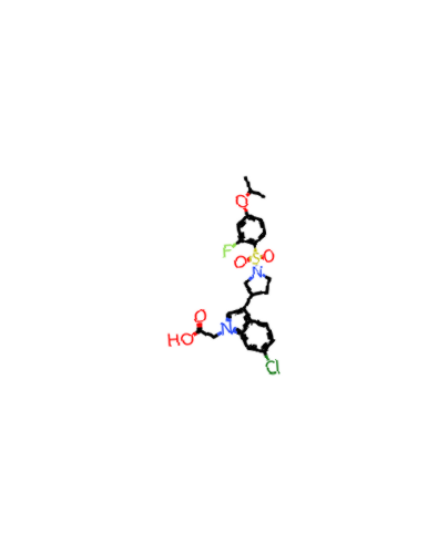 CC(C)Oc1ccc(S(=O)(=O)N2CCC(c3cn(CC(=O)O)c4cc(Cl)ccc34)C2)c(F)c1